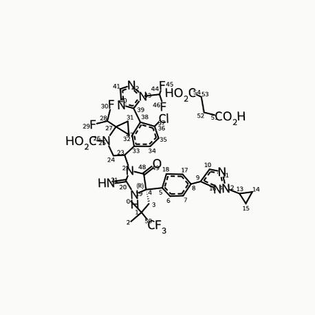 CC(C)(C[C@]1(c2ccc(-c3cnn(C4CC4)n3)cc2)NC(=N)N(C(CN(C(=O)O)C2(C(F)F)CC2)c2ccc(Cl)c(-c3ncnn3C(F)F)c2)C1=O)C(F)(F)F.O=C(O)CCC(=O)O